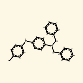 Cc1ccc(Oc2ccc(N(Cc3ccccc3)Cc3ccccc3)cc2)cc1